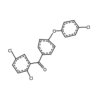 O=C(c1ccc(Oc2ccc(Cl)cc2)cc1)c1cc(Cl)ccc1Cl